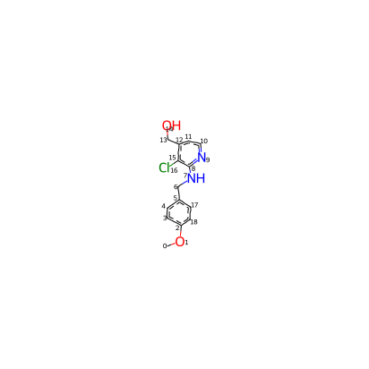 COc1ccc(CNc2nccc(CO)c2Cl)cc1